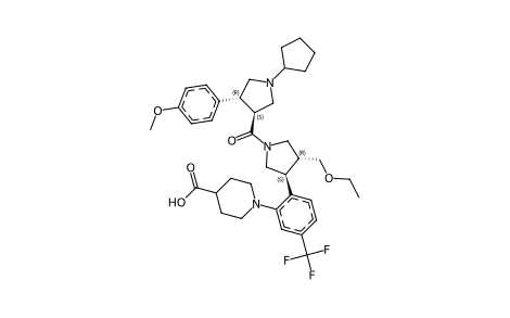 CCOC[C@H]1CN(C(=O)[C@@H]2CN(C3CCCC3)C[C@H]2c2ccc(OC)cc2)C[C@@H]1c1ccc(C(F)(F)F)cc1N1CCC(C(=O)O)CC1